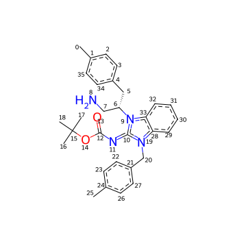 Cc1ccc(C[C@@H](CN)n2c(=NC(=O)OC(C)(C)C)n(Cc3ccc(C)cc3)c3ccccc32)cc1